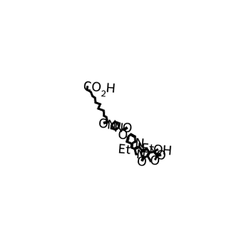 CCc1c2c(nc3ccc(OC(=O)N4CCN(C(=O)CCCCCCCCCCC(=O)O)CC4)cc13)-c1cc3c(c(=O)n1C2)COC(=O)[C@]3(O)CC